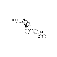 O=C(O)Cc1ncc2cc(CC(c3ccc(S(=O)(=O)C4CCCC4)cc3)C3CCCCC3)[nH]c2n1